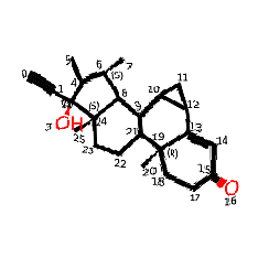 C#C[C@]1(O)C(C)[C@@H](C)C2C3C4CC4C4=CC(=O)CC[C@]4(C)C3CC[C@@]21C